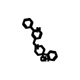 OC1(c2ccccc2)CCN(Cc2ccnc(-c3ccccc3)c2)CC1